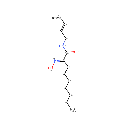 CCCCCCCC=CCNC(=O)C(CCCCCC[N+](=O)[O-])=NO